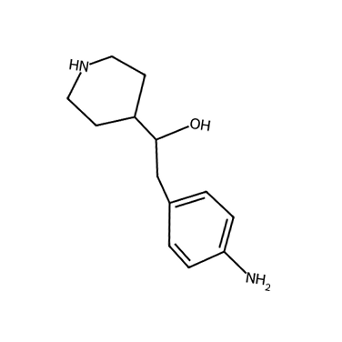 Nc1ccc(CC(O)C2CCNCC2)cc1